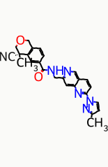 Cc1ccn(-c2ccc3cnc(CNC(=O)c4ccc5c(c4)[C@](C)(C#N)COC5)cc3n2)n1